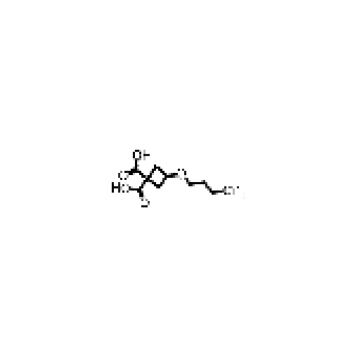 CCCCOC1CC(C(=O)O)(C(=O)O)C1